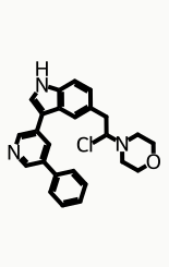 ClC(Cc1ccc2[nH]cc(-c3cncc(-c4ccccc4)c3)c2c1)N1CCOCC1